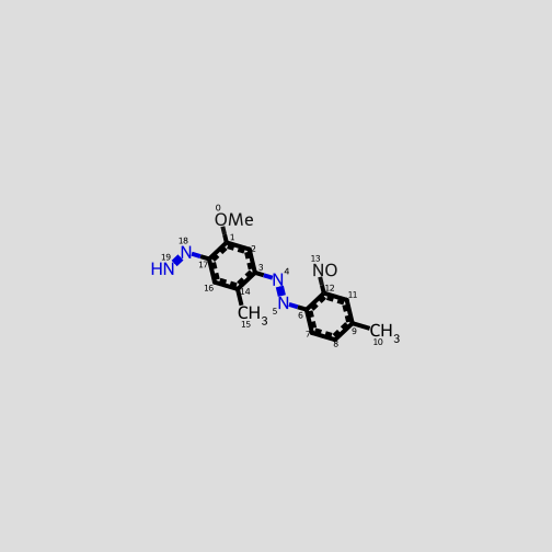 COc1cc(N=Nc2ccc(C)cc2N=O)c(C)cc1N=N